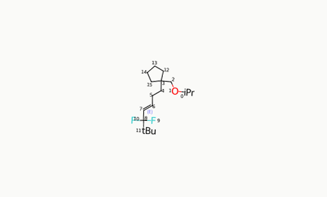 CC(C)OCC1(CC/C=C/C(F)(F)C(C)(C)C)CCCC1